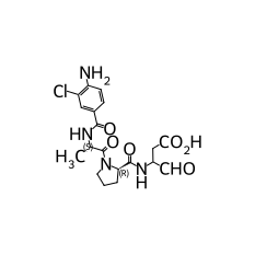 C[C@H](NC(=O)c1ccc(N)c(Cl)c1)C(=O)N1CCC[C@@H]1C(=O)NC(C=O)CC(=O)O